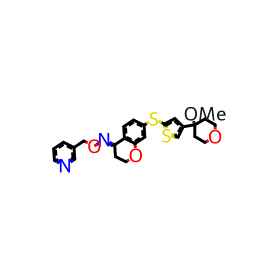 COC1(c2csc(Sc3ccc4c(c3)OCC/C4=N\OCc3cccnc3)c2)CCOCC1